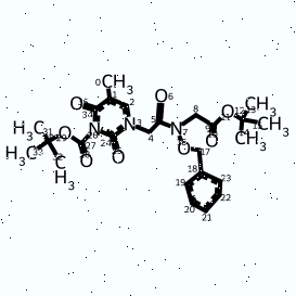 Cc1cn(CC(=O)N(CC(=O)OC(C)(C)C)OCc2ccccc2)c(=O)n(C(=O)OC(C)(C)C)c1=O